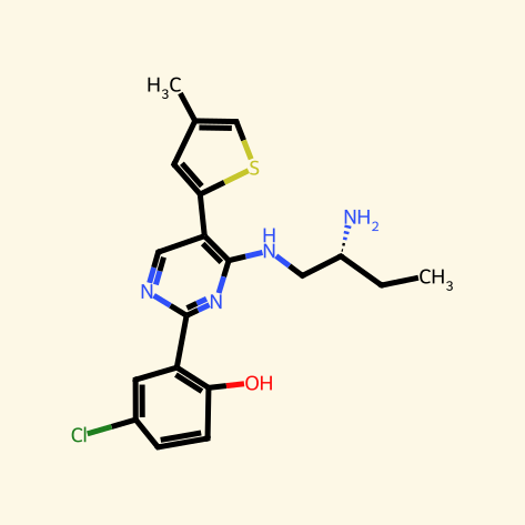 CC[C@@H](N)CNc1nc(-c2cc(Cl)ccc2O)ncc1-c1cc(C)cs1